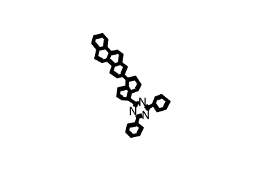 c1ccc(-c2nc(-c3ccccc3)nc(-c3cccc4c(-c5ccc6c(ccc7c8ccccc8ccc67)c5)cccc34)n2)cc1